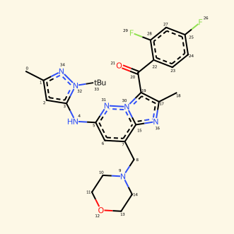 Cc1cc(Nc2cc(CN3CCOCC3)c3nc(C)c(C(=O)c4ccc(F)cc4F)n3n2)n(C(C)(C)C)n1